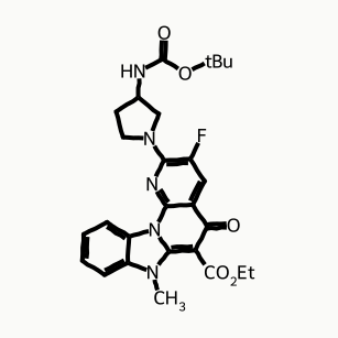 CCOC(=O)c1c(=O)c2cc(F)c(N3CCC(NC(=O)OC(C)(C)C)C3)nc2n2c3ccccc3n(C)c12